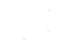 COC(=O)c1cc(C(=O)/C=C/N(C)C)ncc1F